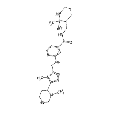 CCCC1(C(F)(F)F)NCCCC1CNC(=O)c1ccnc(NCc2nnc(C3CCNCN3C)n2C)c1